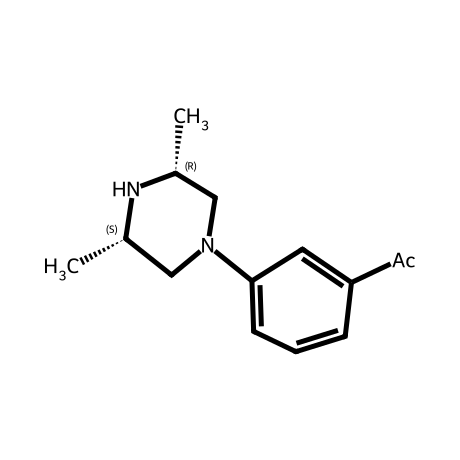 CC(=O)c1cccc(N2C[C@@H](C)N[C@@H](C)C2)c1